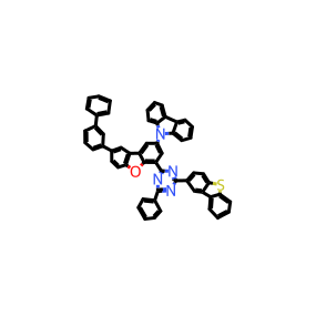 c1ccc(-c2cccc(-c3ccc4oc5c(-c6nc(-c7ccccc7)nc(-c7ccc8sc9ccccc9c8c7)n6)cc(-n6c7ccccc7c7ccccc76)cc5c4c3)c2)cc1